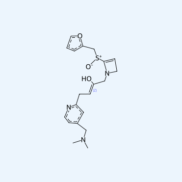 CN(C)Cc1ccnc(C/C=C(\O)CN2CC=C2[S+]([O-])Cc2ccco2)c1